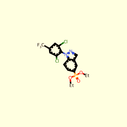 CCOP(=O)(OCC)c1ccc2c(cnn2-c2c(Cl)cc(C(F)(F)F)cc2Cl)c1